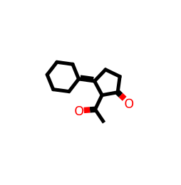 CC(=O)C1C(=O)CCC1=C1CCCCC1